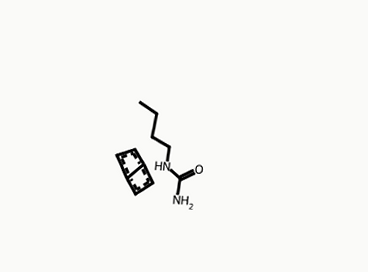 CCCCNC(N)=O.c1cc2ccc1-2